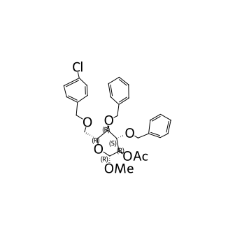 CO[C@@H]1O[C@H](COCc2ccc(Cl)cc2)[C@@H](OCc2ccccc2)[C@H](OCc2ccccc2)[C@H]1OC(C)=O